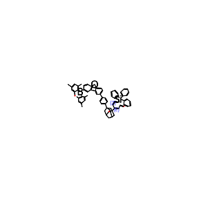 C=C/C=C(\C=C/C[Si](c1ccccc1)(c1ccccc1)c1ccccc1)C12CC3CC(C1)CC(c1ccc(-c4ccc5oc6ccc(B(c7c(C)cc(C)cc7C)c7c(C)cc(C)cc7C)cc6c5c4)cc1)(C3)C2